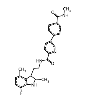 CNC(=O)c1ccc(-c2ccc(C(=O)NCCC3c4c(C)ccc(F)c4NC3C)nc2)cc1